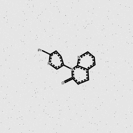 CC(C)c1ccc(-n2c(=O)ccc3cccnc32)cn1